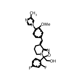 COc1cc(C=C2CCCN3C2=NOC3(CO)c2ccc(F)cc2F)ccc1-n1cnc(C)c1